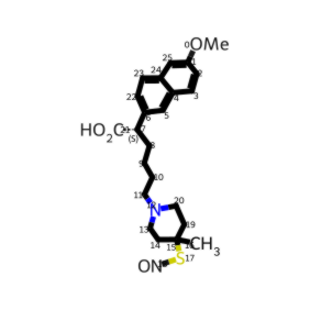 COc1ccc2cc([C@H](CCCCN3CCC(C)(SN=O)CC3)C(=O)O)ccc2c1